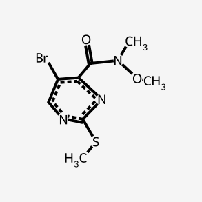 CON(C)C(=O)c1nc(SC)ncc1Br